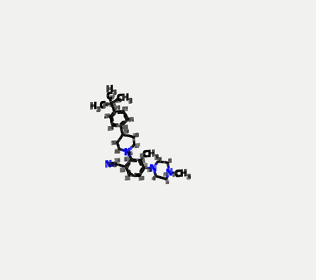 Cc1c(N2CCN(C)CC2)ccc(C#N)c1N1CCC(c2ccc(C(C)(C)C)cc2)CC1